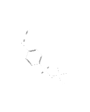 CC(C)(C)[Si](C)(C)NS(=O)(=O)c1ccc(N=C=S)cc1